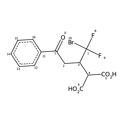 O=C(CC(C(C(=O)O)C(=O)O)C(F)(F)Br)c1ccccc1